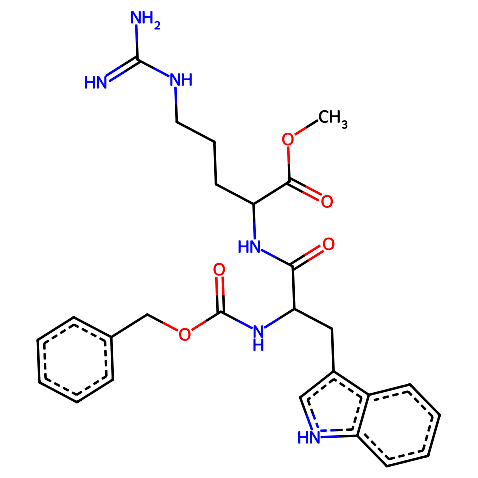 COC(=O)C(CCCNC(=N)N)NC(=O)C(Cc1c[nH]c2ccccc12)NC(=O)OCc1ccccc1